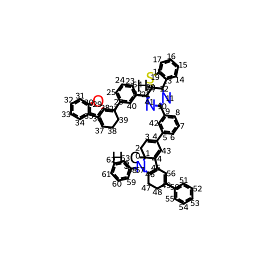 CC12CC=C(c3cccc(C4=NC5c6ccccc6S[C@H]5C(c5cccc(C6=c7oc8ccccc8c7=CCC6)c5)=N4)c3)C=C1C1=C(CCC(c3ccccc3)=C1)N2c1ccccc1